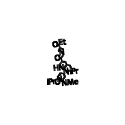 C=CC1=C(N(CCC)C2=CC(NC)N(OC(C)C)C=C2)NCC(C(=O)CN2CC(C(=O)CC)C2)=C1